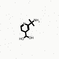 CC(C)(N)C1=CC(C(O)O)CC=N1